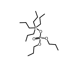 CCCOP(=O)(OCCC)OP(CCC)(CCC)(CCC)CCC